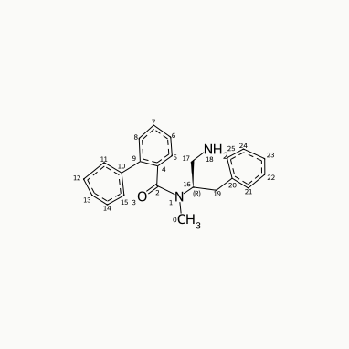 CN(C(=O)c1ccccc1-c1ccccc1)[C@@H](CN)Cc1ccccc1